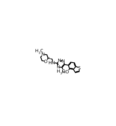 Cc1nc(NC[C@@H]2CN(C)CCO2)nnc1-c1ccc2sccc2c1O